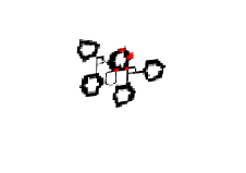 C1=CCC(P(c2ccccc2)c2ccccc2Oc2ccccc2P(c2ccccc2)c2ccccc2)C=C1